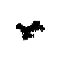 CC1(C)OB(O)c2ccc(Nc3ncc(-c4nnc(-c5cccnc5)o4)c(N[C@H](CO)c4ccccc4)n3)cc21